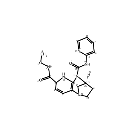 CONC(=O)C1C=CC2=C(N1)N(C(=O)Nc1ccccn1)[C@H]1CCN2C1